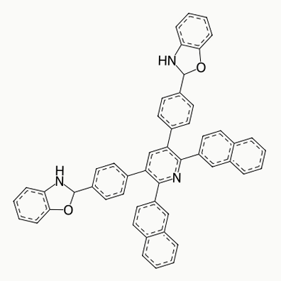 c1ccc2c(c1)NC(c1ccc(-c3cc(-c4ccc(C5Nc6ccccc6O5)cc4)c(-c4ccc5ccccc5c4)nc3-c3ccc4ccccc4c3)cc1)O2